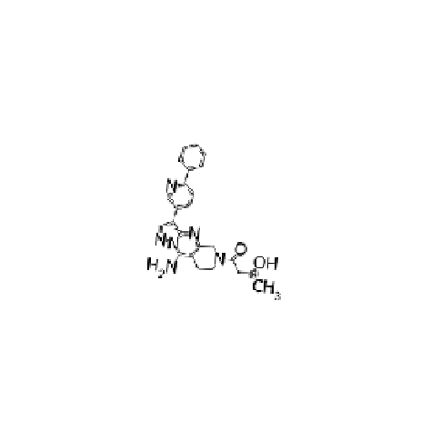 C[C@@H](O)CC(=O)N1CCc2c(nc3c(-c4ccc(-c5ccccc5)nc4)cnn3c2N)C1